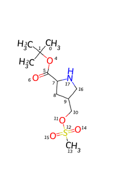 CC(C)(C)OC(=O)C1CC(COS(C)(=O)=O)CN1